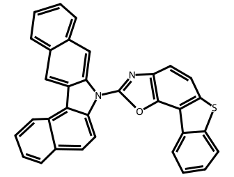 c1ccc2cc3c(cc2c1)c1c2ccccc2ccc1n3-c1nc2ccc3sc4ccccc4c3c2o1